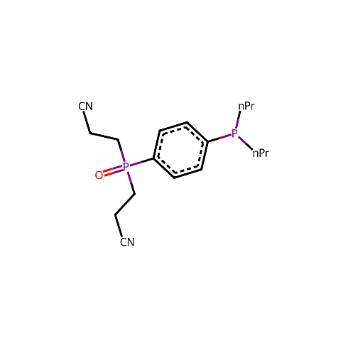 CCCP(CCC)c1ccc(P(=O)(CCC#N)CCC#N)cc1